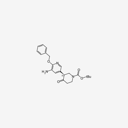 CC(C)(C)OC(=O)N1CCC(=O)[C@@H](c2cnc(OCc3ccccc3)c(N)c2)C1